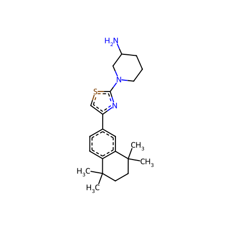 CC1(C)CCC(C)(C)c2cc(-c3csc(N4CCCC(N)C4)n3)ccc21